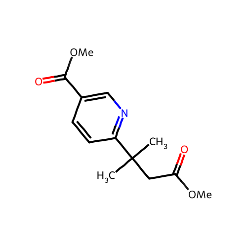 COC(=O)CC(C)(C)c1ccc(C(=O)OC)cn1